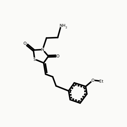 CCOc1cccc(CC/C=C2/SC(=O)N(CCN)C2=O)c1